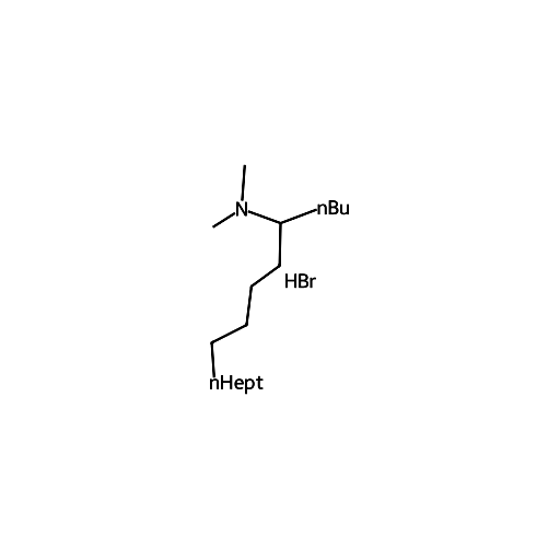 Br.CCCCCCCCCCCC(CCCC)N(C)C